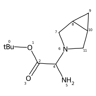 CC(C)(C)OC(=O)C(N)N1CC2CC2C1